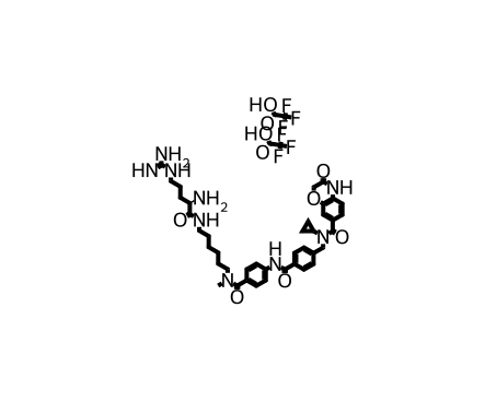 CN(CCCCCCNC(=O)[C@@H](N)CCCNC(=N)N)C(=O)c1ccc(NC(=O)c2ccc(CN(C(=O)c3ccc4c(c3)OCC(=O)N4)C3CC3)cc2)cc1.O=C(O)C(F)(F)F.O=C(O)C(F)(F)F